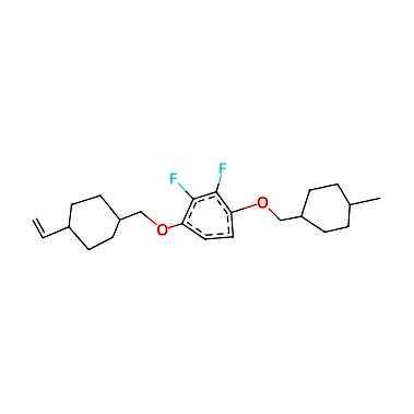 C=CC1CCC(COc2ccc(OCC3CCC(C)CC3)c(F)c2F)CC1